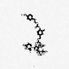 CC(OCc1ccc(OC(=O)OCCc2ccc([N+](=O)[O-])cc2)c(F)c1)O[C@H]1[C@H](n2ccc(=O)[nH]c2=O)O[C@@H]2C(O)[Si](C(C)C)(C(C)C)O[Si](C(C)C)(C(C)C)[C@@]21O